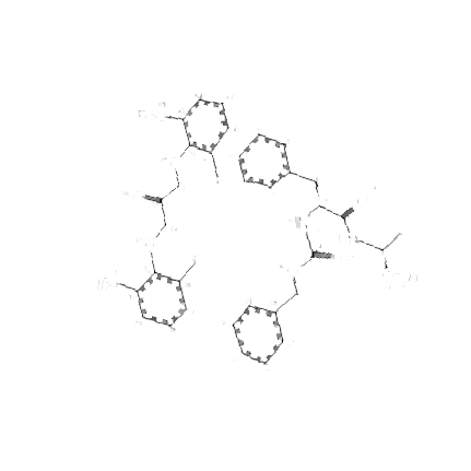 C[C@H](NC(=O)[C@H](Cc1ccccc1)NC(=O)OCc1ccccc1)C(=O)O.Cc1cccc(C(C)(C)C)c1OCC(=O)COc1c(C)cccc1C(C)(C)C